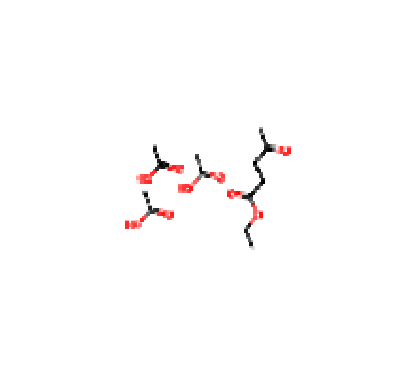 CC(=O)O.CC(=O)O.CC(=O)O.CCOC(=O)CCC(C)=O